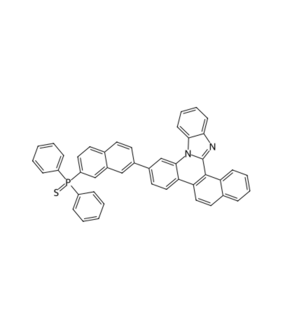 S=P(c1ccccc1)(c1ccccc1)c1ccc2ccc(-c3ccc4c5ccc6ccccc6c5c5nc6ccccc6n5c4c3)cc2c1